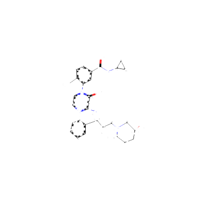 Cc1ccc(C(=O)NC2CC2)cc1-n1ccnc(N[C@@H](c2ccccc2)[C@@H](C)CN2CCC[C@H](O)C2)c1=O